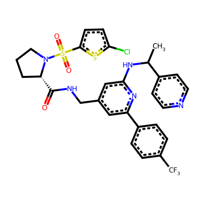 CC(Nc1cc(CNC(=O)[C@@H]2CCCN2S(=O)(=O)c2ccc(Cl)s2)cc(-c2ccc(C(F)(F)F)cc2)n1)c1ccncc1